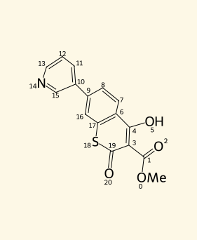 COC(=O)c1c(O)c2ccc(-c3cccnc3)cc2sc1=O